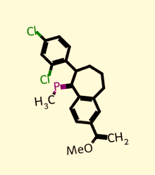 C=C(OC)c1ccc2c(c1)CCCC(c1ccc(Cl)cc1Cl)/C2=P/C